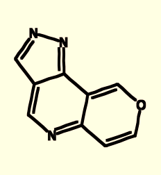 c1cc2ncc3cnnc3c2co1